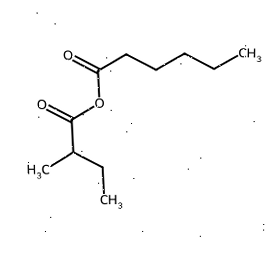 CCCCCC(=O)OC(=O)C(C)CC